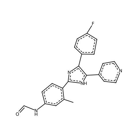 Cc1cc(NC=O)ccc1-c1nc(-c2ccc(F)cc2)c(-c2ccncc2)[nH]1